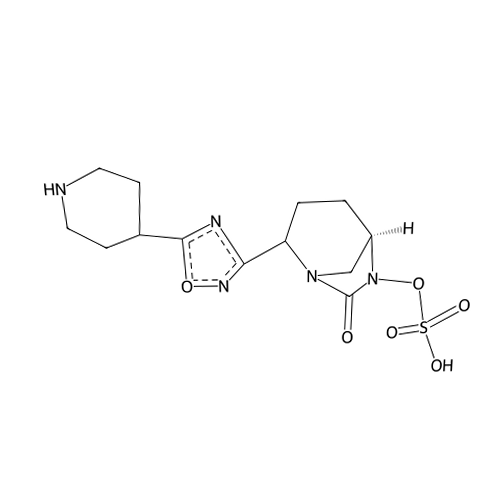 O=C1N2C[C@@H](CCC2c2noc(C3CCNCC3)n2)N1OS(=O)(=O)O